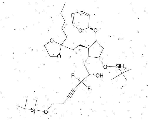 CCCCCC1(CC[C@H]2C(O[C@@H]3C=CC=CO3)C[C@H](O[SiH2]C(C)(C)C)[C@@H]2CC(O)C(F)(F)C#CCCO[Si](C)(C)C(C)(C)C)OCCO1